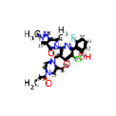 C=CC(=O)N1CCN2C(=O)c3c(N4Cc5cn(C)nc5C4C)nc(-c4c(O)cccc4F)c(Cl)c3OCC2C1